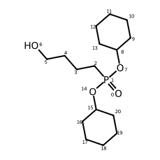 O=P(CCCCO)(OC1CCCCC1)OC1CCCCC1